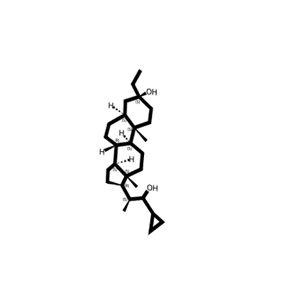 CC[C@]1(O)CC[C@@]2(C)[C@@H](CC[C@@H]3[C@@H]2CC[C@]2(C)[C@@H]([C@H](C)C(O)C4CC4)CC[C@@H]32)C1